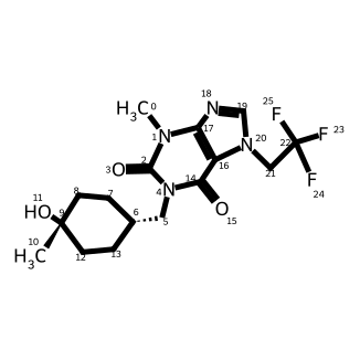 Cn1c(=O)n(C[C@H]2CC[C@@](C)(O)CC2)c(=O)c2c1ncn2CC(F)(F)F